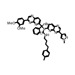 CCC[CH][C@@](c1ccccc1)(c1ccc2ncc(-c3ccc(OC)c(OC)c3)nc2n1)N(C(=O)NCCCCc1ccc(C)cc1)c1ccc2ncc(-c3cnn(C)c3)nc2n1